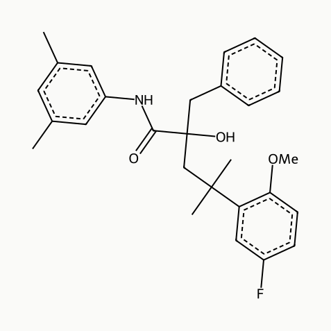 COc1ccc(F)cc1C(C)(C)CC(O)(Cc1ccccc1)C(=O)Nc1cc(C)cc(C)c1